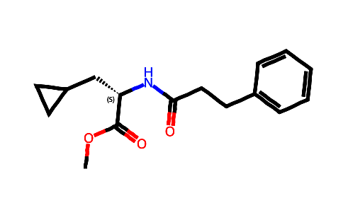 COC(=O)[C@H](CC1CC1)NC(=O)CCc1ccccc1